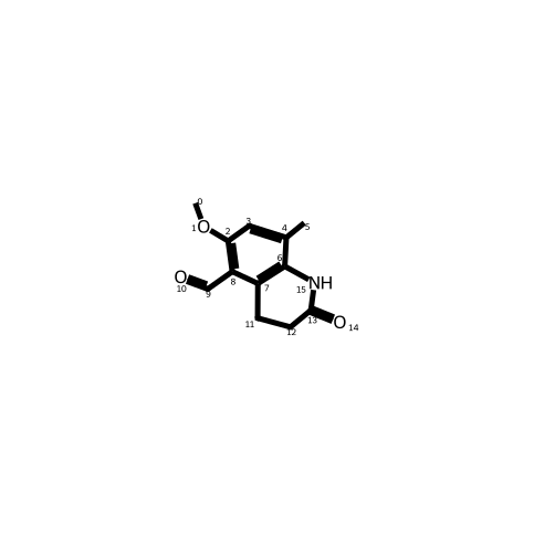 COc1cc(C)c2c(c1C=O)CCC(=O)N2